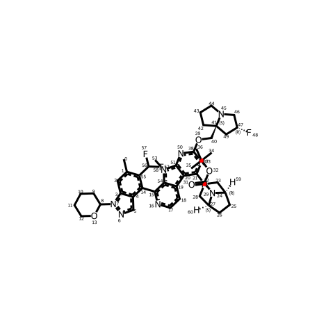 Cc1cc2c(cnn2C2CCCCO2)c(-c2nccc3c4c(N5C[C@H]6CC[C@@H](C5)N6C(=O)OC(C)(C)C)nc(OC[C@@]56CCCN5C[C@H](F)C6)nc4n(C)c23)c1C(F)F